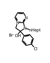 CCCCCCCN1c2nccc[n+]2CC1(O)c1ccc(Cl)cc1.[Br-]